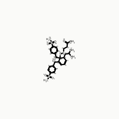 CS(=O)(=O)c1ccc(C(=O)C2=CC=CC(CC(N)N)C2(SSCCC(N)=O)C(=O)c2ccc(S(C)(=O)=O)cc2)cc1